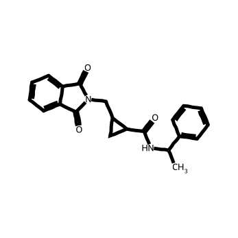 CC(NC(=O)C1CC1CN1C(=O)c2ccccc2C1=O)c1ccccc1